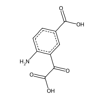 Nc1ccc(C(=O)O)cc1C(=O)C(=O)O